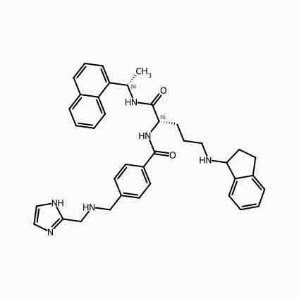 C[C@H](NC(=O)[C@H](CCCNC1CCc2ccccc21)NC(=O)c1ccc(CNCc2ncc[nH]2)cc1)c1cccc2ccccc12